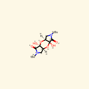 CC(C)(C)N1C[C@@H]2O[C@]3(O)C(=O)N(C(C)(C)C)C[C@@H]3O[C@@]2(O)C1=O